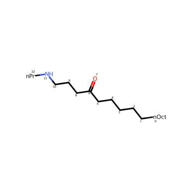 CCCCCCCCCCCCCC(=O)CCCNCCC